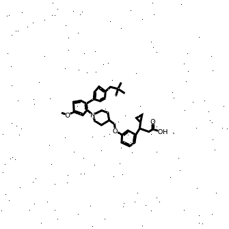 COc1ccc(-c2ccc(CC(C)(C)C)cc2)c(N2CCC(COc3cccc(C(CC(=O)O)C4CC4)c3)CC2)c1